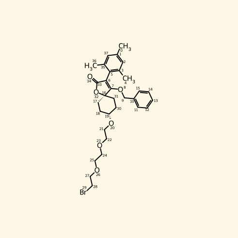 Cc1cc(C)c(C2=C(OCc3ccccc3)[C@]3(CC[C@@H](OCCOCCOCCBr)CC3)OC2=O)c(C)c1